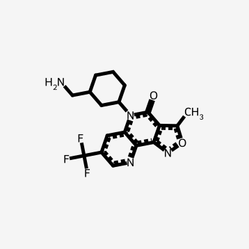 Cc1onc2c1c(=O)n(C1CCCC(CN)C1)c1cc(C(F)(F)F)cnc21